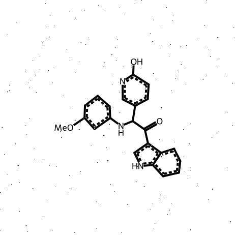 COc1cccc(NC(C(=O)c2c[nH]c3ccccc23)c2ccc(O)nc2)c1